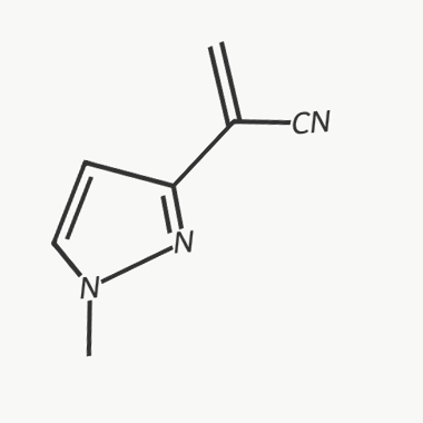 C=C(C#N)c1ccn(C)n1